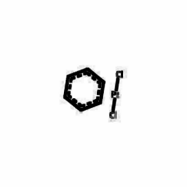 [Cl][Pt][Cl].[c]1ccccc1